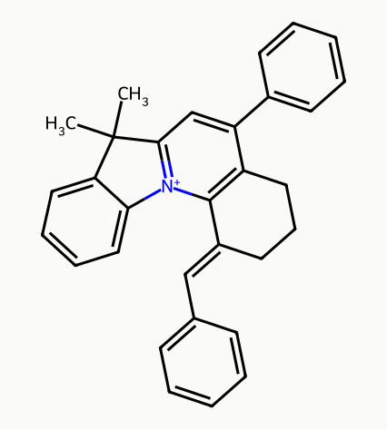 CC1(C)c2ccccc2-[n+]2c1cc(-c1ccccc1)c1c2C(=Cc2ccccc2)CCC1